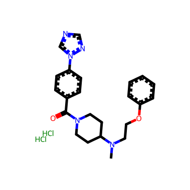 CN(CCOc1ccccc1)C1CCN(C(=O)c2ccc(-n3cncn3)cc2)CC1.Cl.Cl